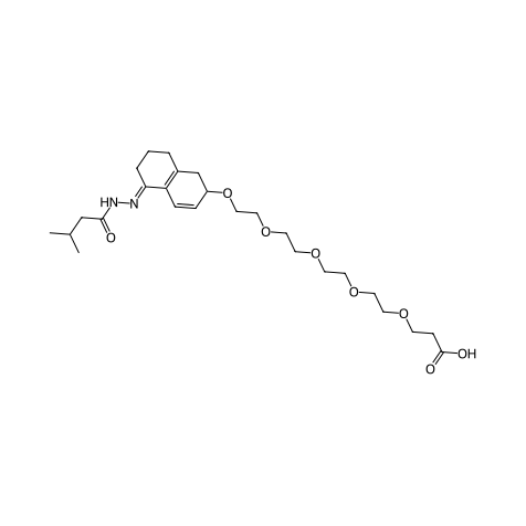 CC(C)CC(=O)NN=C1CCCC2=C1C=CC(OCCOCCOCCOCCOCCC(=O)O)C2